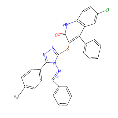 Cc1ccc(-c2nnc(Sc3c(-c4ccccc4)c4cc(Cl)ccc4[nH]c3=O)n2/N=C/c2ccccc2)cc1